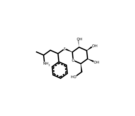 CC(N)CC(S[C@@H]1O[C@H](CO)[C@H](O)[C@H](O)[C@H]1O)c1ccccc1